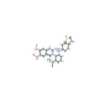 COc1cc2nc(Cl)nc(N[C@H](C)c3cccc(Nc4ccc5ncsc5c4)c3)c2cc1OC